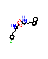 O=C(Oc1cc(CCc2cccc3c#cccc23)n[nH]c1=O)c1cc(CCc2ccc(Cl)cc2)n[nH]1